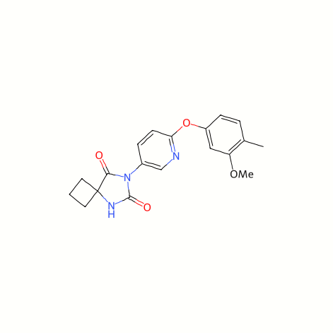 COc1cc(Oc2ccc(N3C(=O)NC4(CCC4)C3=O)cn2)ccc1C